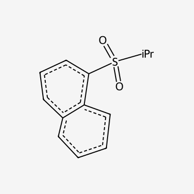 CC(C)S(=O)(=O)c1cccc2ccccc12